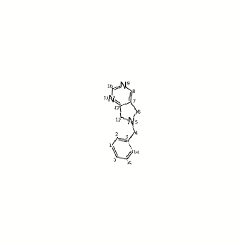 c1ccc(CN2Cc3cncnc3C2)cc1